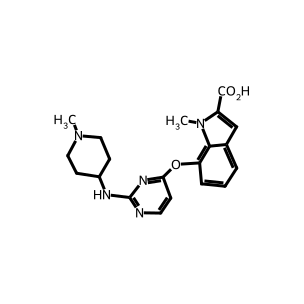 CN1CCC(Nc2nccc(Oc3cccc4cc(C(=O)O)n(C)c34)n2)CC1